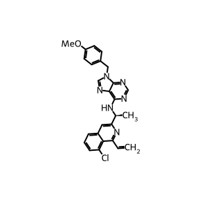 C=Cc1nc([C@H](C)Nc2ncnc3c2ncn3Cc2ccc(OC)cc2)cc2cccc(Cl)c12